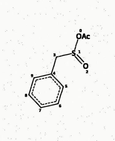 CC(=O)OS(=O)Cc1ccccc1